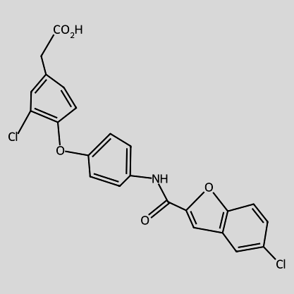 O=C(O)Cc1ccc(Oc2ccc(NC(=O)c3cc4cc(Cl)ccc4o3)cc2)c(Cl)c1